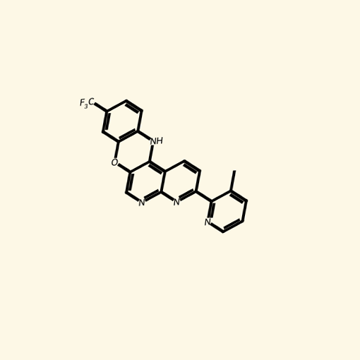 Cc1cccnc1-c1ccc2c3c(cnc2n1)Oc1cc(C(F)(F)F)ccc1N3